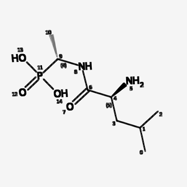 CC(C)C[C@H](N)C(=O)N[C@@H](C)P(=O)(O)O